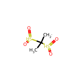 [CH2]C(C)([SH](=O)=O)[SH](=O)=O